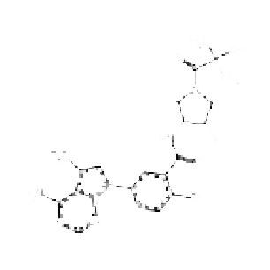 CCc1ccc(-c2cc(C(F)(F)F)c3c(N)ncnn23)cc1C(=O)N[C@@H]1CN(C(=O)[C@@](C)(O)C(F)(F)F)C[C@@H]1F